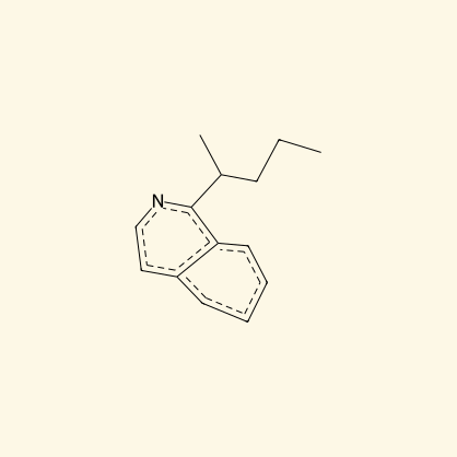 CCCC(C)c1nccc2ccccc12